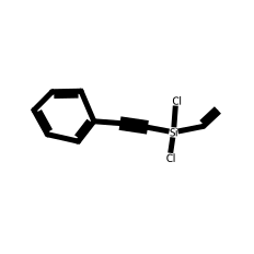 C=C[Si](Cl)(Cl)C#Cc1ccccc1